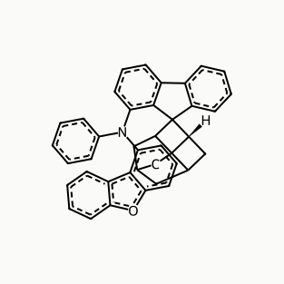 c1ccc(N(c2cccc3c2C2(c4ccccc4-3)C3CC4CC5C[C@@H]2C53C4)c2cccc3oc4ccccc4c23)cc1